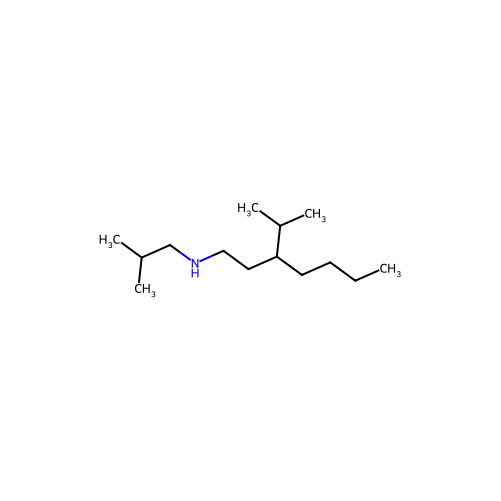 CCCCC(CCNCC(C)C)C(C)C